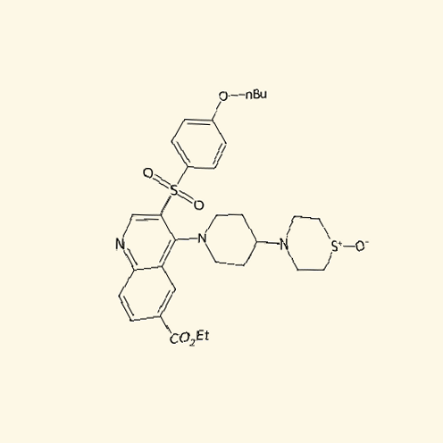 CCCCOc1ccc(S(=O)(=O)c2cnc3ccc(C(=O)OCC)cc3c2N2CCC(N3CC[S+]([O-])CC3)CC2)cc1